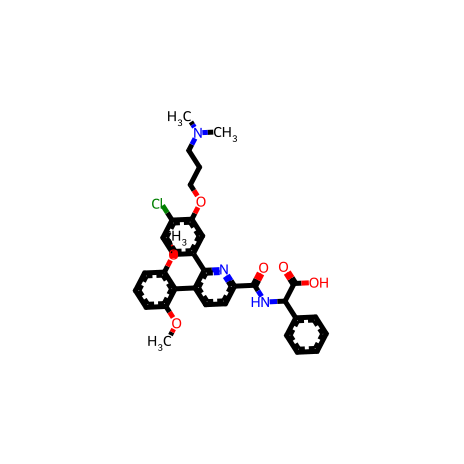 COc1cccc(OC)c1-c1ccc(C(=O)NC(C(=O)O)c2ccccc2)nc1-c1ccc(Cl)c(OCCCN(C)C)c1